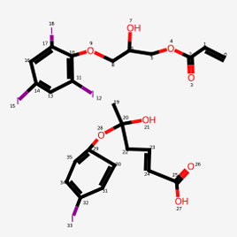 C=CC(=O)OCC(O)COc1c(I)cc(I)cc1I.CC(O)(CC=CC(=O)O)Oc1ccc(I)cc1